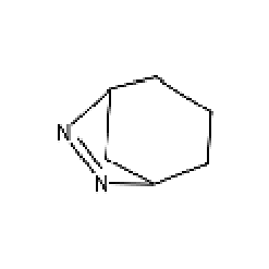 C1CC2CC(C1)N=N2